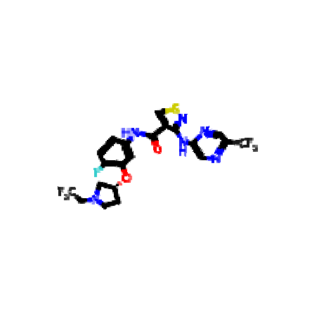 O=C(Nc1ccc(F)c(O[C@@H]2CCN(CC(F)(F)F)C2)c1)c1csnc1Nc1cnc(C(F)(F)F)cn1